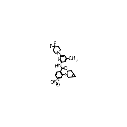 Cc1cc(NC(=O)c2ccc([N+](=O)[O-])cc2N2CCC3CC3C2)nc(N2CCC(F)(F)CC2)c1